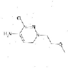 COCCN1CC=C(N)C(Cl)=N1